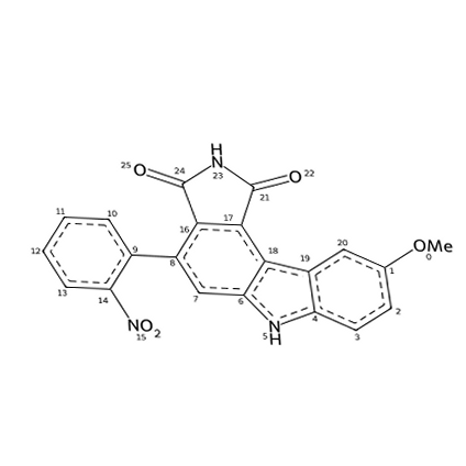 COc1ccc2[nH]c3cc(-c4ccccc4[N+](=O)[O-])c4c(c3c2c1)C(=O)NC4=O